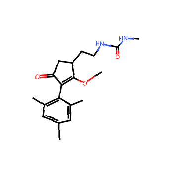 CNC(=O)NCCC1CC(=O)C(c2c(C)cc(C)cc2C)=C1OC